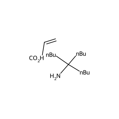 C=CC(=O)O.CCCCC(N)(CCCC)CCCC